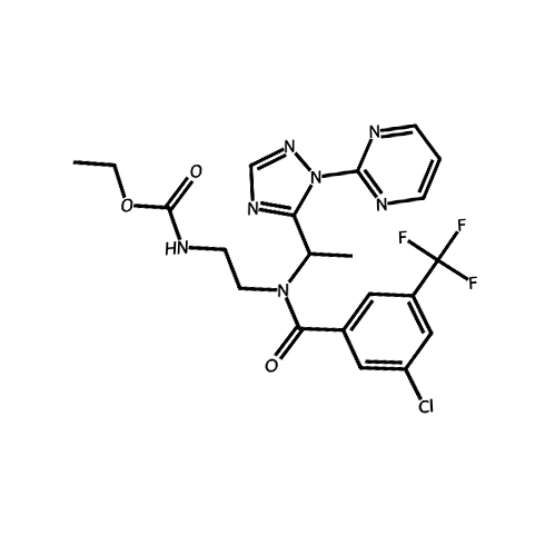 CCOC(=O)NCCN(C(=O)c1cc(Cl)cc(C(F)(F)F)c1)C(C)c1ncnn1-c1ncccn1